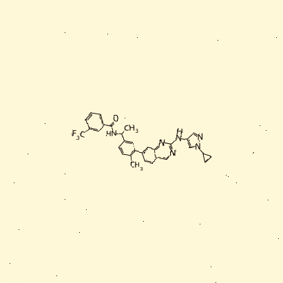 Cc1ccc(C(C)NC(=O)c2cccc(C(F)(F)F)c2)cc1-c1ccc2cnc(Nc3cnn(C4CC4)c3)nc2c1